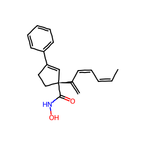 C=C(/C=C\C=C/C)[C@]1(C(=O)NO)C=C(c2ccccc2)CC1